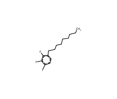 CCCCCCCCCc1ccc(I)c(F)c1F